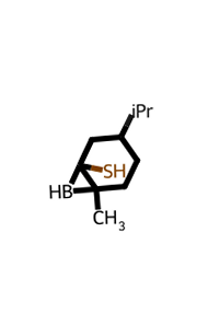 CC(C)C1CCC2(C)BC2(S)C1